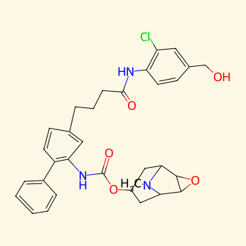 CN1C2CC(OC(=O)Nc3cc(CCCC(=O)Nc4ccc(CO)cc4Cl)ccc3-c3ccccc3)CC1C1OC12